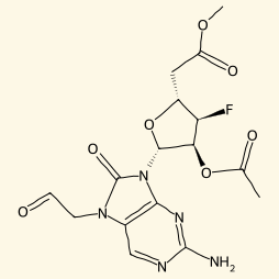 COC(=O)C[C@H]1O[C@@H](n2c(=O)n(CC=O)c3cnc(N)nc32)[C@H](OC(C)=O)[C@@H]1F